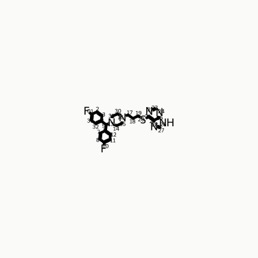 Fc1ccc(C(c2ccc(F)cc2)N2CCN(CCCSc3ncnc4[nH]cnc34)CC2)cc1